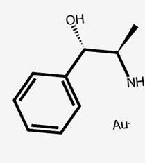 C[C@@H](N)[C@@H](O)c1ccccc1.[Au]